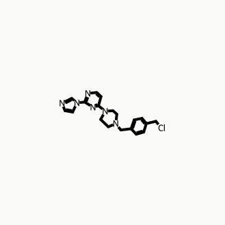 ClCc1ccc(CN2CCN(c3ccnc(-n4ccnc4)n3)CC2)cc1